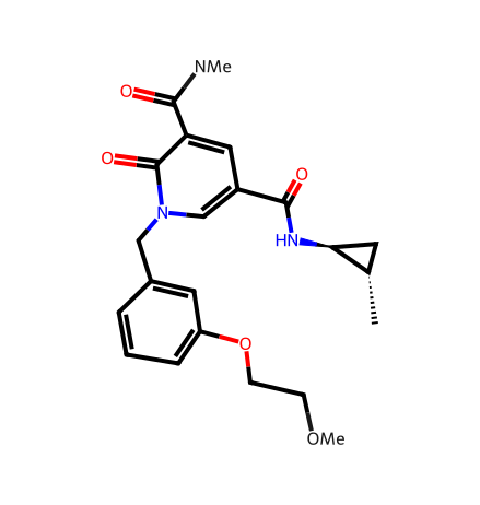 CNC(=O)c1cc(C(=O)N[C@H]2C[C@@H]2C)cn(Cc2cccc(OCCOC)c2)c1=O